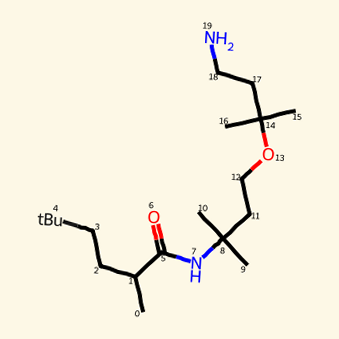 CC(CCC(C)(C)C)C(=O)NC(C)(C)CCOC(C)(C)CCN